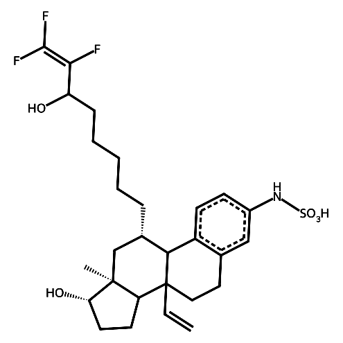 C=CC12CCc3cc(NS(=O)(=O)O)ccc3C1[C@@H](CCCCCC(O)C(F)=C(F)F)C[C@@]1(C)C2CC[C@@H]1O